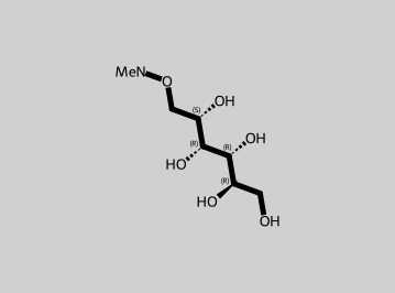 CNOC[C@H](O)[C@@H](O)[C@H](O)[C@H](O)CO